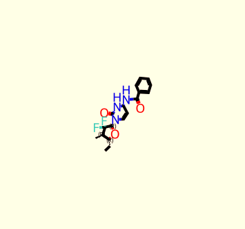 CC[C@H]1O[C@@H](N2C=CC(NC(=O)c3ccccc3)NC2=O)C(F)(F)[C@@H]1C